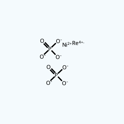 O=P([O-])([O-])[O-].O=P([O-])([O-])[O-].[Ni+2].[Re+4]